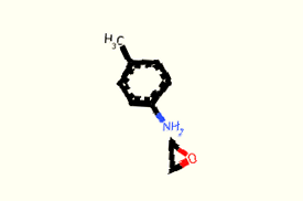 C1CO1.Cc1ccc(N)cc1